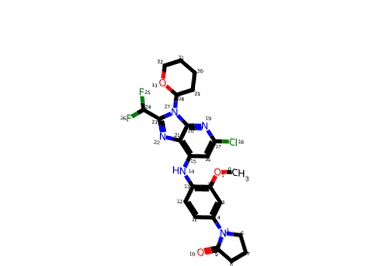 COc1cc(N2CCCC2=O)ccc1Nc1cc(Cl)nc2c1nc(C(F)F)n2C1CCCCO1